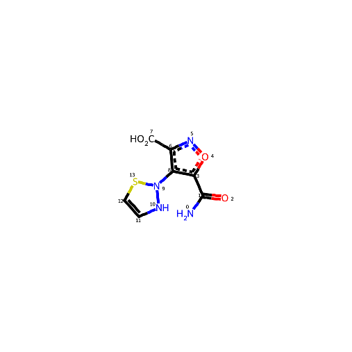 NC(=O)c1onc(C(=O)O)c1N1NC=CS1